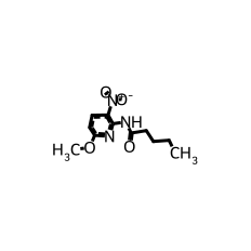 CCCCC(=O)Nc1nc(OC)ccc1[N+](=O)[O-]